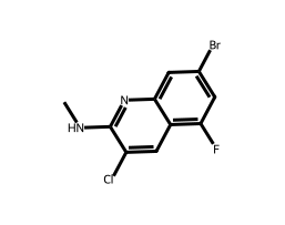 CNc1nc2cc(Br)cc(F)c2cc1Cl